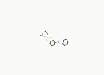 CC1CN(S(=O)(=O)c2cccc(C(O)Nc3cccc(Br)c3)c2)CC(C)O1